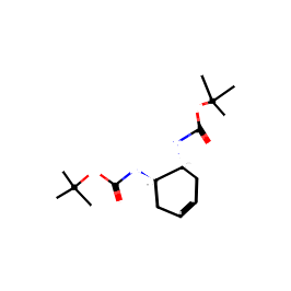 CC(C)(C)OC(=O)N[C@@H]1CC=CC[C@H]1NC(=O)OC(C)(C)C